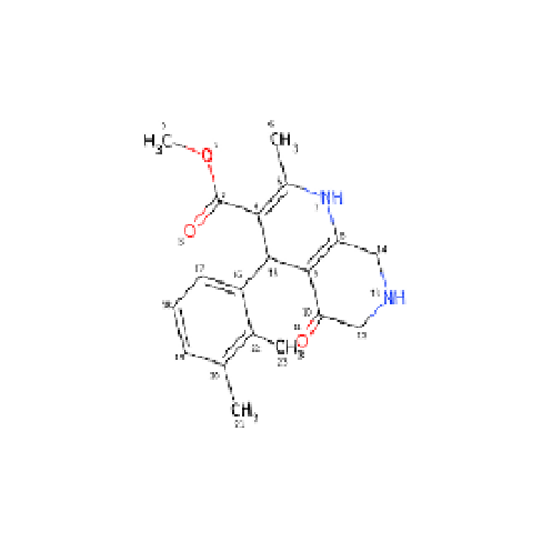 COC(=O)C1=C(C)NC2=C(C(=O)CNC2)C1c1cccc(C)c1C